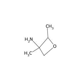 CC1OCC1(C)N